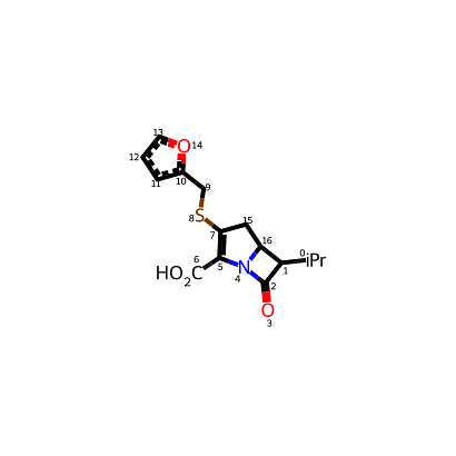 CC(C)C1C(=O)N2C(C(=O)O)=C(SCc3ccco3)CC12